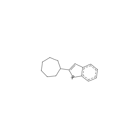 C1=C(C2CCCCCC2)[P]c2ccccc21